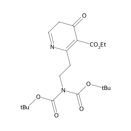 CCOC(=O)C1=C(CCN(C(=O)OC(C)(C)C)C(=O)OC(C)(C)C)N=CCC1=O